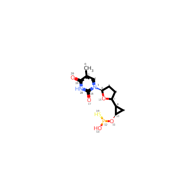 Cc1cn([C@H]2CCC(C3C[C@@H]3OP(O)S)O2)c(=O)[nH]c1=O